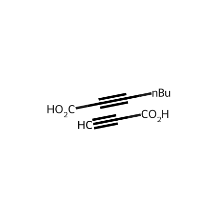 C#CC(=O)O.CCCCC#CC(=O)O